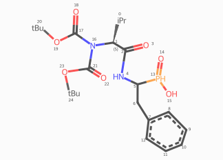 CC(C)[C@@H](C(=O)NC(Cc1ccccc1)[PH](=O)O)N(C(=O)OC(C)(C)C)C(=O)OC(C)(C)C